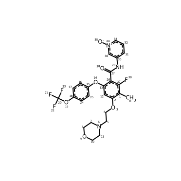 Cc1c(OCCN2CCOCC2)cc(Oc2ccc(OC(F)(F)F)cc2)c(C(=O)Nc2ccc[n+]([O-])c2)c1F